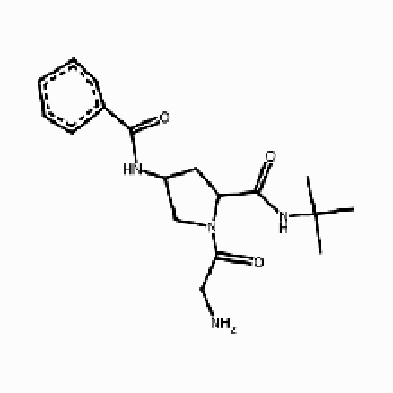 CC(C)(C)NC(=O)C1CC(NC(=O)c2ccccc2)CN1C(=O)CN